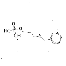 O=P(O)(O)OCCCSCc1ccccc1